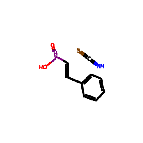 N=C=S.O=[PH](O)C=Cc1ccccc1